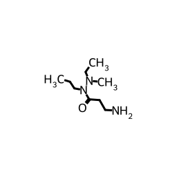 CCCN(C(=O)CCN)N(C)CC